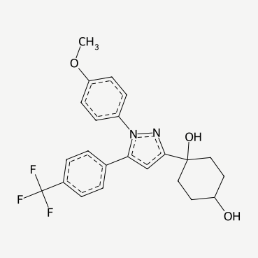 COc1ccc(-n2nc(C3(O)CCC(O)CC3)cc2-c2ccc(C(F)(F)F)cc2)cc1